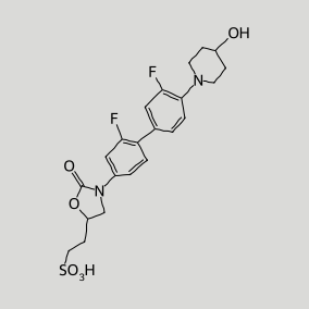 O=C1OC(CCS(=O)(=O)O)CN1c1ccc(-c2ccc(N3CCC(O)CC3)c(F)c2)c(F)c1